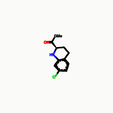 COC(=O)[C@H]1CCc2ccc(Cl)cc2N1